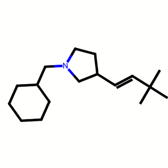 CC(C)(C)/C=C/C1CCN(CC2CCCCC2)C1